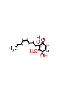 CCC/C=C\CCC[C@]1(O)C(=O)C=C[C@H](O)[C@H]1O